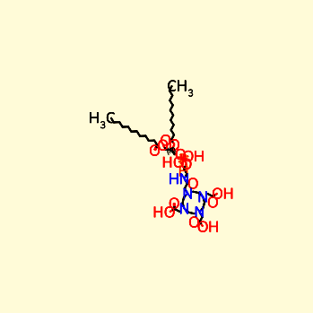 CCCCCCCCCCCC(=O)OC[C@H](CO[PH](O)(O)OCCNC(=O)CN1CCN(CC(=O)O)CCN(CC(=O)O)CCN(CC(=O)O)CC1)OC(=O)CCCCCCCCCCC